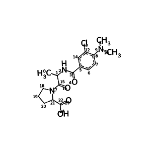 CC(NC(=O)c1ccc(N(C)C)c(Cl)c1)C(=O)N1CCCC1C(=O)O